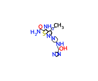 CCCc1cc(N2CCC(NCC(O)c3cnccn3)CC2)nc2sc(C(N)=O)c(N)c12